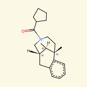 C[C@@H]1[C@@H]2Cc3ccccc3[C@@]1(C)CCN(C(=O)C1CCCC1)C2